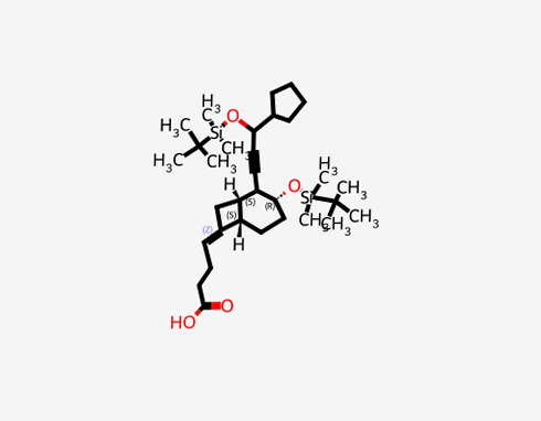 CC(C)(C)[Si](C)(C)OC(C#CC1[C@H]2C/C(=C/CCC(=O)O)[C@H]2CC[C@H]1O[Si](C)(C)C(C)(C)C)C1CCCC1